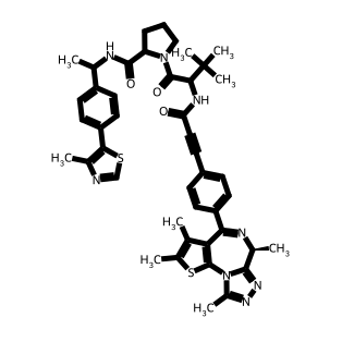 Cc1ncsc1-c1ccc(C(C)NC(=O)C2CCCN2C(=O)C(NC(=O)C#Cc2ccc(C3=N[C@@H](C)c4nnc(C)n4-c4sc(C)c(C)c43)cc2)C(C)(C)C)cc1